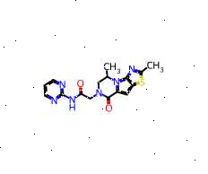 Cc1nc2c(cc3n2C(C)CN(CC(=O)Nc2ncccn2)C3=O)s1